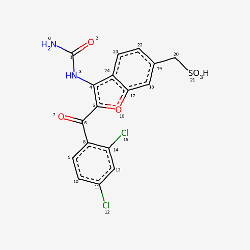 NC(=O)Nc1c(C(=O)c2ccc(Cl)cc2Cl)oc2cc(CS(=O)(=O)O)ccc12